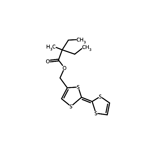 CCC(C)(CC)C(=O)OCC1=CSC(=C2SC=CS2)S1